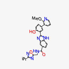 COc1ncccc1-c1ccc(O)c(-c2nc3cc(C(=O)NCc4nc(C(C)C)no4)ccc3[nH]2)c1